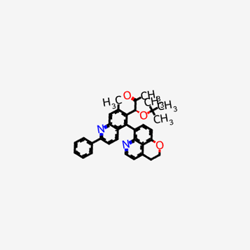 CC(=O)[C@@H](OC(C)(C)C)c1c(C)cc2nc(-c3ccccc3)ccc2c1-c1ccc2c3c(ccnc13)CCO2